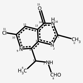 Cc1nc2c(C(C)NC=O)nc(Cl)cc2c(=O)[nH]1